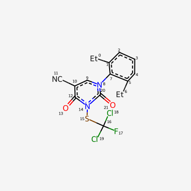 CCc1cccc(CC)c1-n1cc(C#N)c(=O)n(SC(F)(Cl)Cl)c1=O